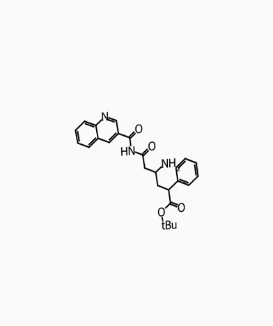 CC(C)(C)OC(=O)C(CC(N)CC(=O)NC(=O)c1cnc2ccccc2c1)c1ccccc1